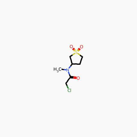 CN(C(=O)CCl)C1CCS(=O)(=O)C1